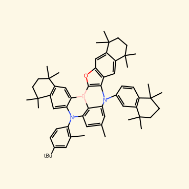 Cc1cc2c3c(c1)N(c1ccc4c(c1)C(C)(C)CCC4(C)C)c1c(oc4cc5c(cc14)C(C)(C)CCC5(C)C)B3c1cc3c(cc1N2c1ccc(C(C)(C)C)cc1C)C(C)(C)CCC3(C)C